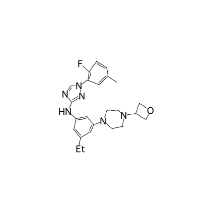 CCc1cc(Nc2ncn(-c3cc(C)ccc3F)n2)cc(N2CCN(C3COC3)CC2)c1